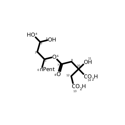 CCCCCC(CC(O)O)OC(=O)CC(O)(CC(=O)O)C(=O)O